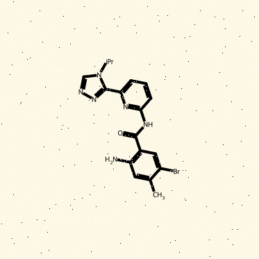 Cc1cc(N)c(C(=O)Nc2cccc(-c3nncn3C(C)C)n2)cc1Br